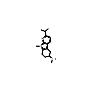 CNC1CCc2c(c3ccc(C(C)C)nc3n2C)C1